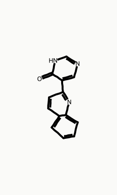 O=c1[nH]cncc1-c1ccc2ccccc2n1